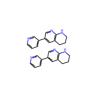 c1cncc(-c2cnc3c(c2)CCCN3)c1.c1cncc(-c2cnc3c(c2)CCCN3)c1